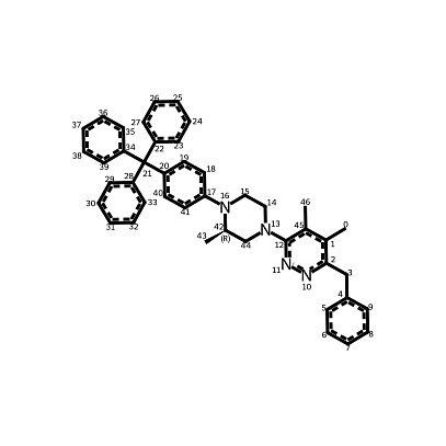 Cc1c(Cc2ccccc2)nnc(N2CCN(c3ccc(C(c4ccccc4)(c4ccccc4)c4ccccc4)cc3)[C@H](C)C2)c1C